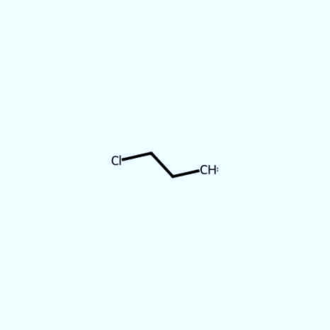 [CH]CCCl